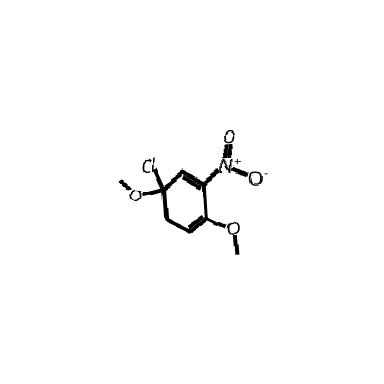 COC1=CCC(Cl)(OC)C=C1[N+](=O)[O-]